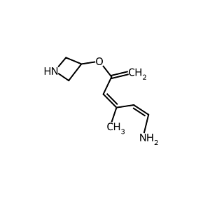 C=C(/C=C(C)\C=C/N)OC1CNC1